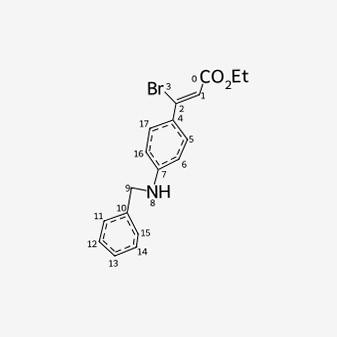 CCOC(=O)C=C(Br)c1ccc(NCc2ccccc2)cc1